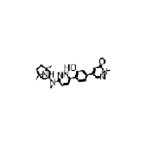 CN(c1ccc(-c2ccc(-c3cnn(C)c(=O)c3)cc2O)nn1)[C@H]1C[C@]2(C)CC[C@](C)(C1)N2